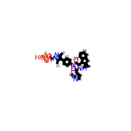 Cc1nn(COP(C)(=O)O)c(C)c1-c1ccc(NC(=O)[C@@H](NC(=O)c2ccnn2C)C2c3ccccc3CC23CC3)cc1